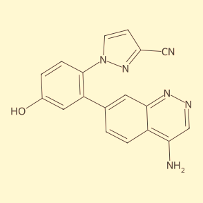 N#Cc1ccn(-c2ccc(O)cc2-c2ccc3c(N)cnnc3c2)n1